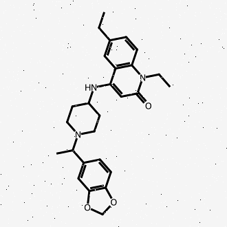 CCc1ccc2c(c1)c(NC1CCN(C(C)c3ccc4c(c3)OCO4)CC1)cc(=O)n2CC